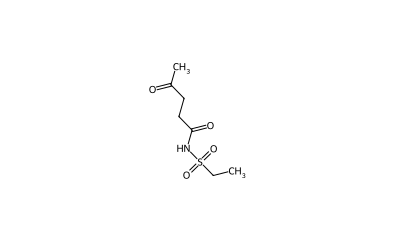 CCS(=O)(=O)NC(=O)CCC(C)=O